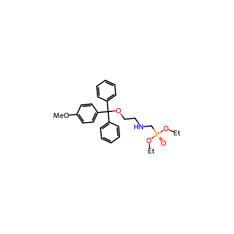 CCOP(=O)(CNCCOC(c1ccccc1)(c1ccccc1)c1ccc(OC)cc1)OCC